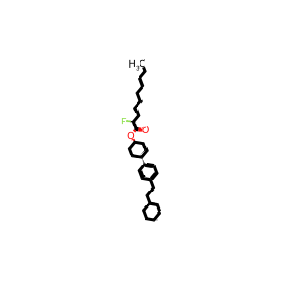 CCCCCCCC[C@H](F)C(=O)O[C@H]1CC[C@H](c2ccc(CCC3CC[CH]CC3)cc2)CC1